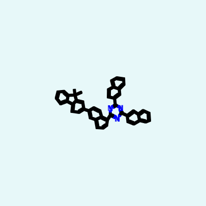 CC1(C)c2ccccc2-c2ccc(-c3ccc4c(-c5nc(-c6ccc7ccccc7c6)nc(-c6ccc7ccccc7c6)n5)cccc4c3)cc21